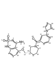 NC1=NS(=O)(=O)Nc2cccc(OC[C@H]3CCCN(C(=O)c4ccnc(-n5cccn5)c4)C3)c21